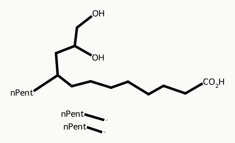 [CH2]CCCCC(CCCCCCCC(=O)O)CC(O)CO.[CH2]CCCC[CH2].[CH2]CCCC[CH2]